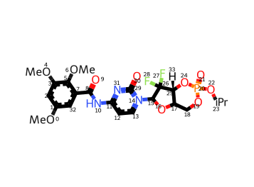 COc1cc(OC)c(OC)c(C(=O)Nc2ccn(C3OC4COP(=O)(OC(C)C)O[C@H]4C3(F)F)c(=O)n2)c1